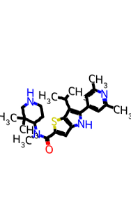 Cc1cc(-c2[nH]c3cc(C(=O)N(C)C4CCNCC4(C)C)sc3c2C(C)C)cc(C)n1